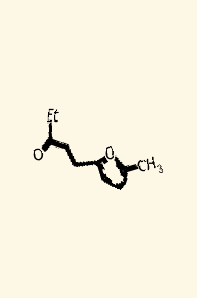 CCC(=O)CCc1ccc(C)o1